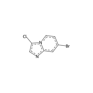 Clc1cnc2cc(Br)ccn12